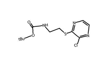 CC(C)(C)OC(=O)NCCSc1nccnc1Cl